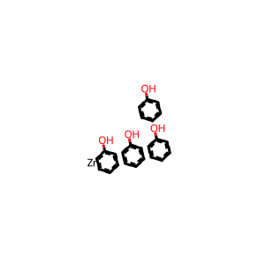 Oc1ccccc1.Oc1ccccc1.Oc1ccccc1.Oc1ccccc1.[Zr]